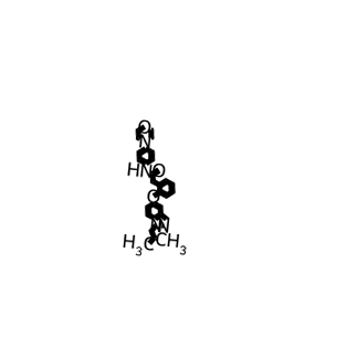 CC(C)Cn1ncc2cc(Oc3ccccc3CC(=O)Nc3ccc(N4CCOCC4)cc3)ccc21